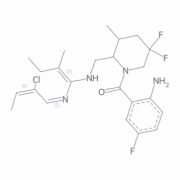 C\C=C(Cl)/C=N\C(NCC1C(C)CC(F)(F)CN1C(=O)c1cc(F)ccc1N)=C(\C)CC